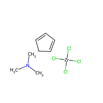 CN(C)C.[CH]1C=CC=C1.[Cl][Zr]([Cl])([Cl])[Cl]